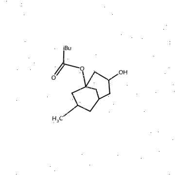 CCC(C)C(=O)OC12CC(C)CC(CC(O)C1)C2